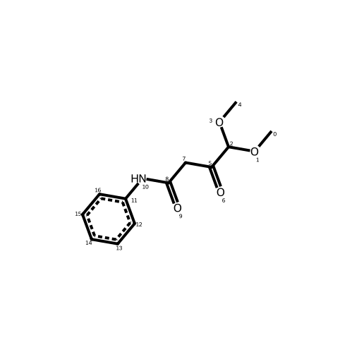 COC(OC)C(=O)CC(=O)Nc1ccccc1